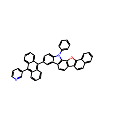 c1ccc(-n2c3ccc(-c4c5ccccc5c(-c5cccnc5)c5ccccc45)cc3c3ccc4c5ccc6ccccc6c5oc4c32)cc1